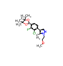 COCCn1ncc(-c2ccc(B3OC(C)(C)C(C)(C)O3)c(F)c2Cl)c1C